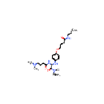 CCCCCCCCCCCCNC(=O)CCCOc1ccc(NC(NC(=O)CCCN(C)C)C(=O)N(CC)NC(C)=O)cc1